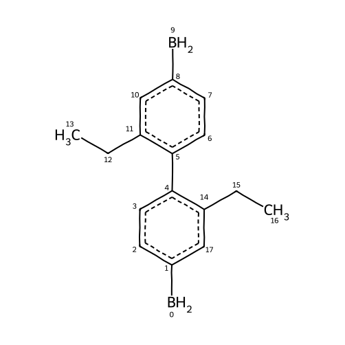 Bc1ccc(-c2ccc(B)cc2CC)c(CC)c1